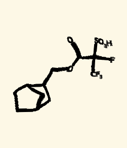 O=C(OCC1CC2CCC1C2)C(F)(C(F)(F)F)S(=O)(=O)O